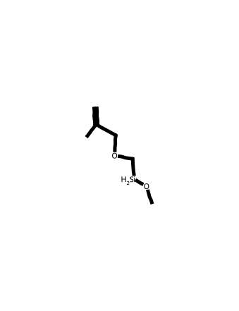 C=C(C)COC[SiH2]OC